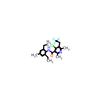 CCc1cc(C)cc(CC)c1NC(=O)c1c(C)nc(C)c(CC(F)(F)F)c1Cl